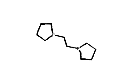 C1CCP(CCP2CCCC2)C1